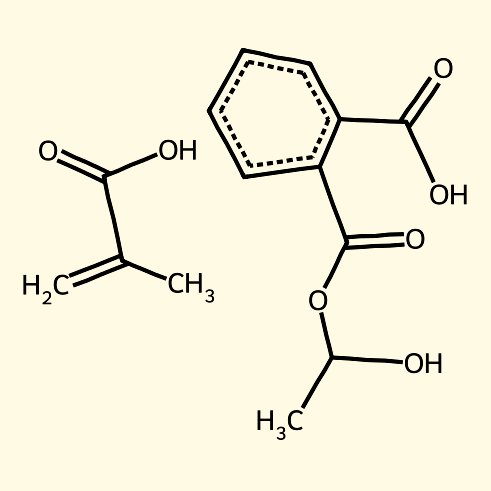 C=C(C)C(=O)O.CC(O)OC(=O)c1ccccc1C(=O)O